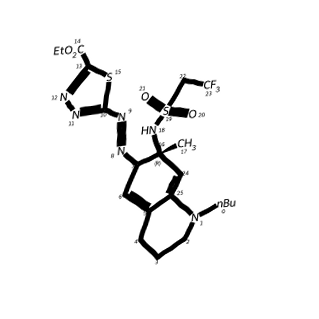 CCCCN1CCCC2=CC(N=Nc3nnc(C(=O)OCC)s3)[C@](C)(NS(=O)(=O)CC(F)(F)F)C=C21